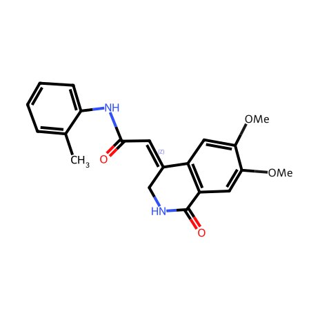 COc1cc2c(cc1OC)/C(=C/C(=O)Nc1ccccc1C)CNC2=O